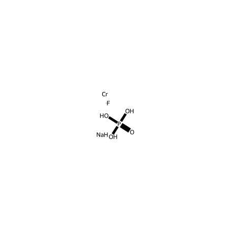 O=P(O)(O)O.[Cr].[F].[NaH]